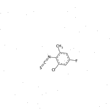 Cc1cc(F)cc(Cl)c1N=C=S